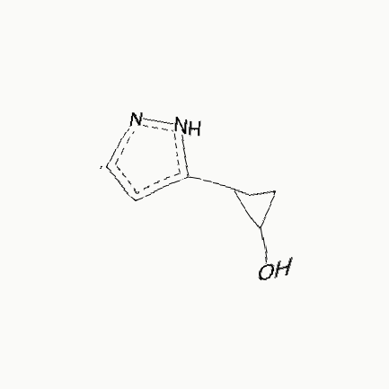 OC1CC1c1c[c]n[nH]1